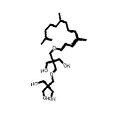 CC(=CCCOCC(CO)(CO)COCC(CO)(CO)CO)CCCC(C)CCCC(C)C